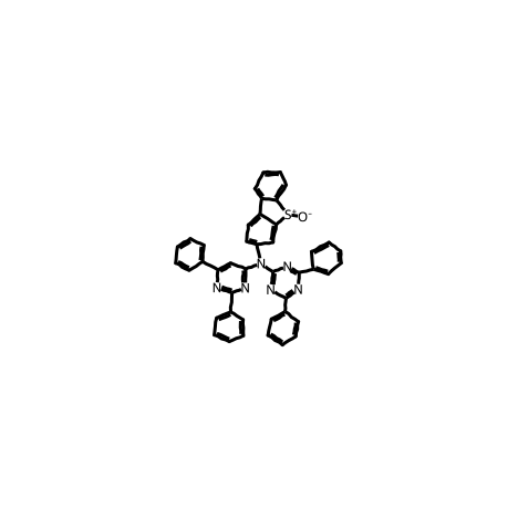 [O-][s+]1c2ccccc2c2ccc(N(c3cc(-c4ccccc4)nc(-c4ccccc4)n3)c3nc(-c4ccccc4)nc(-c4ccccc4)n3)cc21